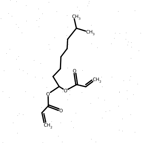 C=CC(=O)OC(CCCCCC(C)C)OC(=O)C=C